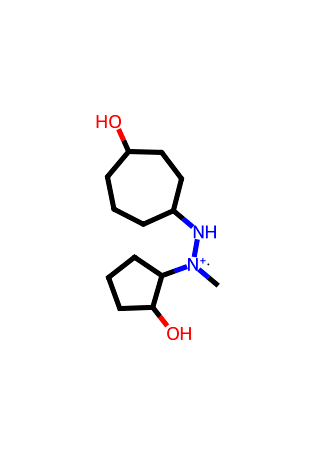 C[N+](NC1CCCC(O)CC1)C1CCCC1O